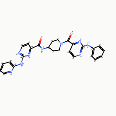 O=C(NC1CCN(C(=O)c2ccnc(Nc3ccccc3)n2)CC1)c1ccnc(Nc2ccccn2)n1